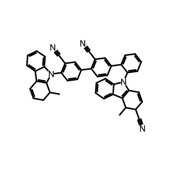 CC1CC=Cc2c1n(-c1ccc(-c3ccc(-c4ccccc4-n4c5c(c6ccccc64)C(C)C(C#N)C=C5)cc3C#N)cc1C#N)c1ccccc21